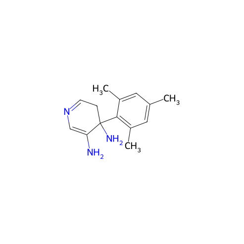 Cc1cc(C)c(C2(N)CC=NC=C2N)c(C)c1